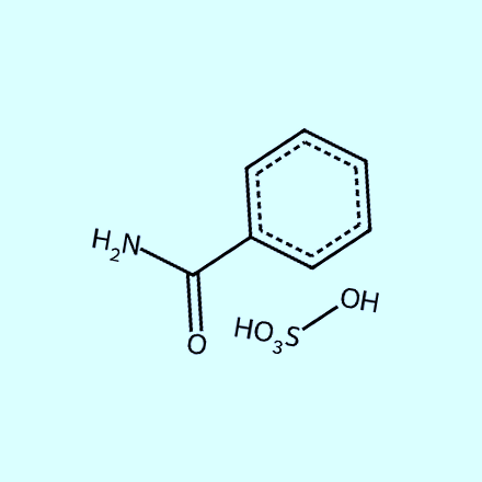 NC(=O)c1ccccc1.O=S(=O)(O)O